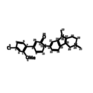 COc1cc(Cl)ccc1-c1ccn(-c2ccc3c4c(n(C)c3c2)CCN(C)C4)c(=O)c1